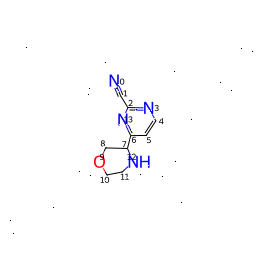 N#Cc1nccc(C2COCCN2)n1